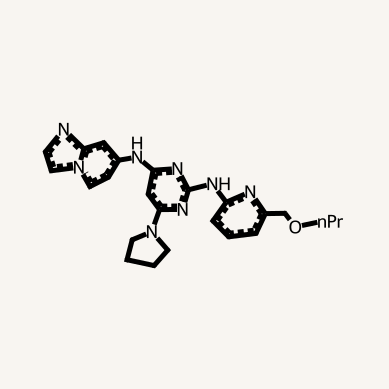 CCCOCc1cccc(Nc2nc(Nc3ccn4ccnc4c3)cc(N3CCCC3)n2)n1